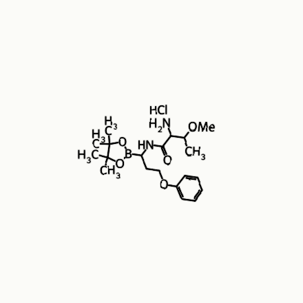 COC(C)C(N)C(=O)NC(CCOc1ccccc1)B1OC(C)(C)C(C)(C)O1.Cl